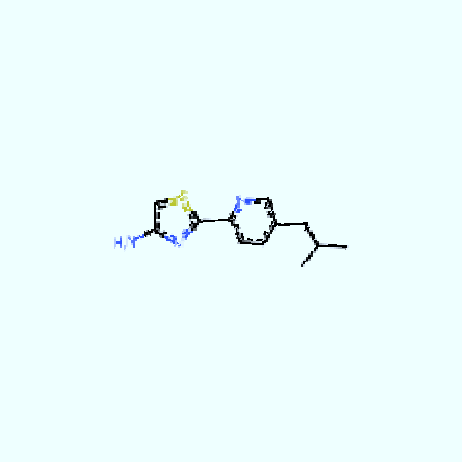 CC(C)Cc1ccc(-c2nc(N)cs2)nc1